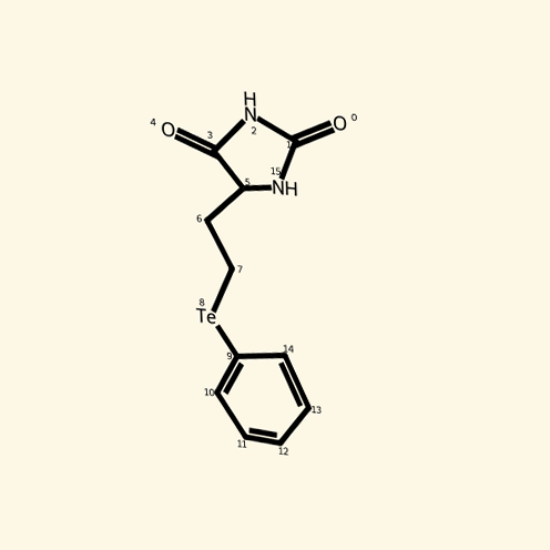 O=C1NC(=O)C(CC[Te]c2ccccc2)N1